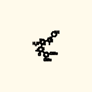 COc1cc(OC)cc(-c2nc(-c3nc(-c4cn(C5CCNCC5)nc4C)cnc3N)cn(C)c2=O)c1